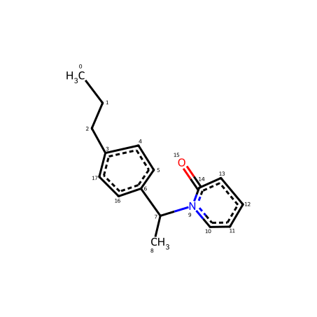 CCCc1ccc(C(C)n2ccccc2=O)cc1